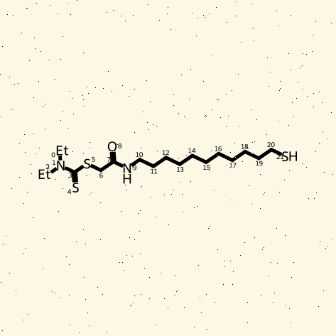 CCN(CC)C(=S)SCC(=O)NCCCCCCCCCCCS